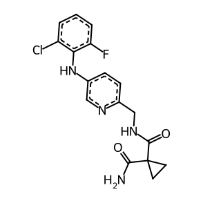 NC(=O)C1(C(=O)NCc2ccc(Nc3c(F)cccc3Cl)cn2)CC1